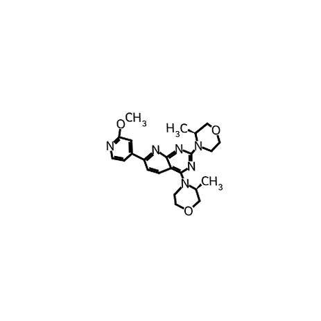 COc1cc(-c2ccc3c(N4CCOC[C@@H]4C)nc(N4CCOC[C@@H]4C)nc3n2)ccn1